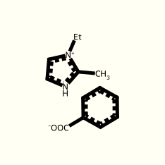 CC[n+]1cc[nH]c1C.O=C([O-])c1ccccc1